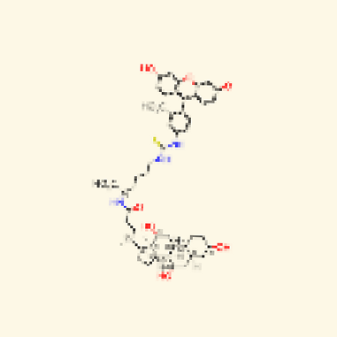 C[C@H](CCC(=O)N[C@@H](CCCCNC(=S)Nc1ccc(-c2c3ccc(=O)cc-3oc3cc(O)ccc23)c(C(=O)O)c1)C(=O)O)[C@H]1CC[C@H]2[C@@H]3[C@H](O)C[C@@H]4C[C@H](O)CC[C@]4(C)[C@H]3C[C@H](O)[C@]12C